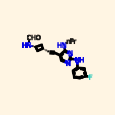 CCCNc1nc(Nc2cccc(F)c2)ncc1C#C[C@H]1C[C@@H](NC=O)C1